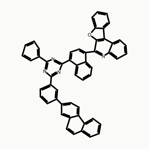 c1ccc(-c2nc(-c3cccc(-c4ccc5c(ccc6ccccc65)c4)c3)nc(-c3ccc(-c4nc5ccccc5c5c4oc4ccccc45)c4ccccc34)n2)cc1